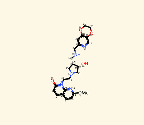 COc1ccc2ccc(=O)n(CCN3C[C@H](CNCc4cc5c(cn4)OCCO5)[C@H](O)C3)c2n1